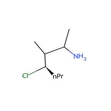 CCC[C@@H](Cl)C(C)C(C)N